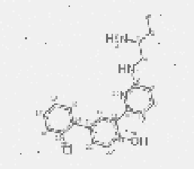 CC[C@H](N)CNc1ccnc(-c2cc(-c3ccccc3Cl)ccc2O)n1